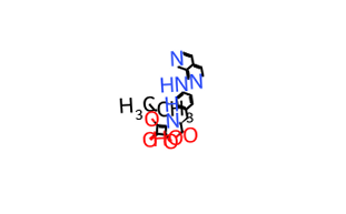 CC(C)Oc1c(N[C@@H](Cc2ccc(Nc3nccc4ccncc34)cc2)C(=O)O)c(=O)c1=O